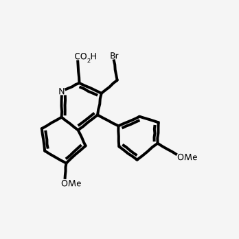 COc1ccc(-c2c(CBr)c(C(=O)O)nc3ccc(OC)cc23)cc1